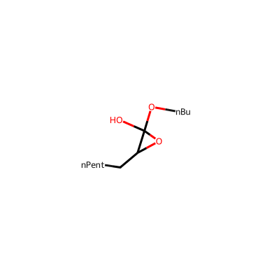 CCCCCCC1OC1(O)OCCCC